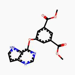 COC(=O)c1cc(Oc2ncnc3cc[nH]c23)cc(C(=O)OC)c1